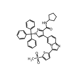 CS(=O)(=O)c1ccc(-c2cnc3ccc(-c4cn(C(c5ccccc5)(c5ccccc5)c5ccccc5)nc4C(=O)NC4CCCC4)cn23)s1